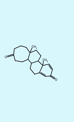 CC12CCCC(=O)CCC1C1CCC3=CC(=O)C=CC3(C)C1CC2